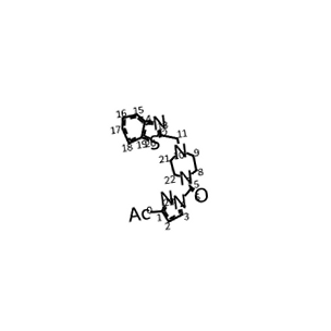 CC(=O)c1ccn(C(=O)N2CCN(Cc3nc4ccccc4s3)CC2)n1